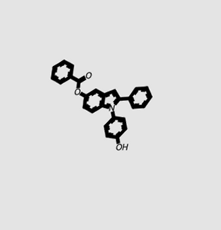 O=C(Oc1ccc2c(c1)cc(-c1ccccc1)n2-c1ccc(O)cc1)c1ccccc1